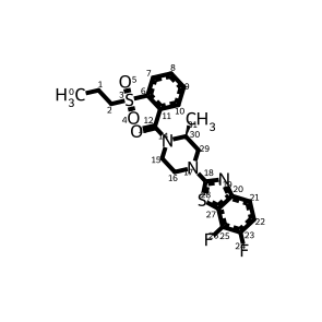 CCCS(=O)(=O)c1ccccc1C(=O)N1CCN(c2nc3ccc(F)c(F)c3s2)C[C@@H]1C